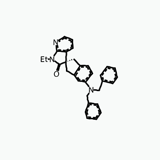 CCN1C(=O)[C@@]2(Cc3ccc(N(Cc4ccccc4)Cc4ccccc4)cc3C2)c2cccnc21